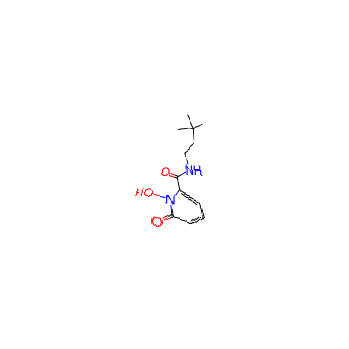 CC(C)(C)CCNC(=O)c1cccc(=O)n1O